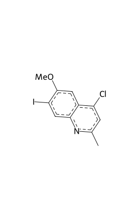 COc1cc2c(Cl)cc(C)nc2cc1I